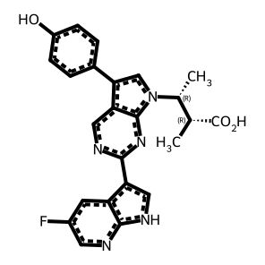 C[C@H]([C@@H](C)C(=O)O)n1cc(-c2ccc(O)cc2)c2cnc(-c3c[nH]c4ncc(F)cc34)nc21